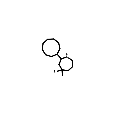 CC1(Br)CCCNC(C2CCCCCCCC2)C1